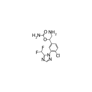 NCC(OC(N)=O)c1ccc(Cl)c(-n2ncnc2C(F)F)c1